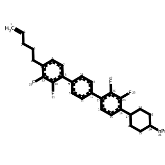 C=CCCCc1ccc(-c2ccc(-c3ccc(C4CCC(CCC)CC4)c(F)c3F)cc2)c(F)c1F